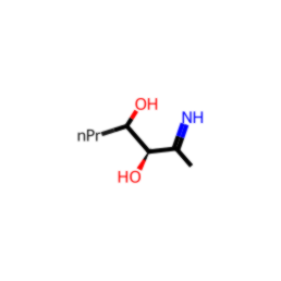 CCCC(O)[C@H](O)C(C)=N